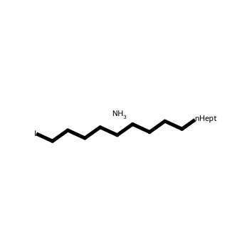 CCCCCCCCCCCCCCCCI.N